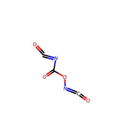 O=C=NOC(=O)N=C=O